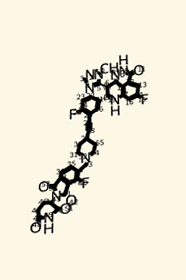 Cn1ncnc1[C@H]1c2n[nH]c(=O)c3cc(F)cc(c23)N[C@@H]1c1ccc(F)c(C#CC2CCN(Cc3ccc4c(c3F)C(=O)N(C3CCC(=O)NC3=O)C4=O)CC2)c1